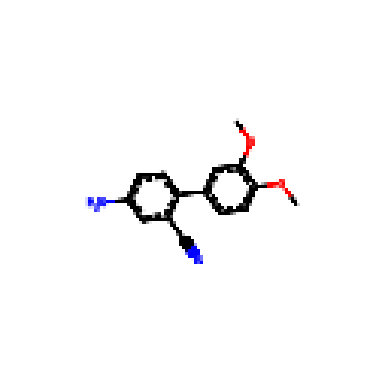 COc1ccc(-c2ccc(N)cc2C#N)cc1OC